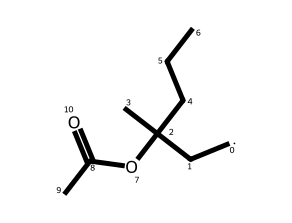 [CH2]CC(C)(CCC)OC(C)=O